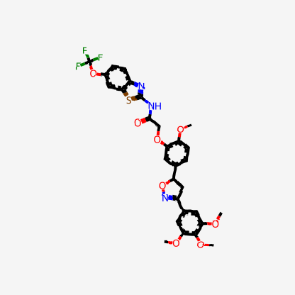 COc1ccc(C2CC(c3cc(OC)c(OC)c(OC)c3)=NO2)cc1OCC(=O)Nc1nc2ccc(OC(F)(F)F)cc2s1